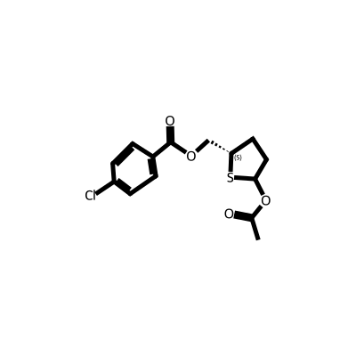 CC(=O)OC1CC[C@@H](COC(=O)c2ccc(Cl)cc2)S1